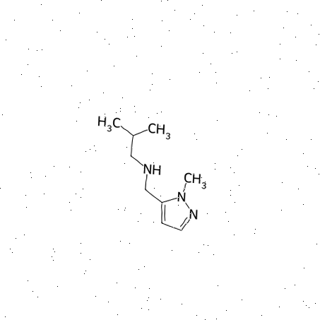 CC(C)CNCc1ccnn1C